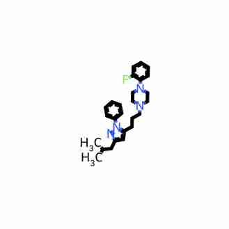 CC(C)Cc1cc(CCCN2CCN(c3ccccc3F)CC2)n(-c2ccccc2)n1